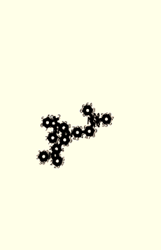 CC1(C)c2ccccc2-c2c1c1ccc3c(c4cc(-c5ccc6c(c5)c5ccccc5n6-c5ccccc5)ccc4n3-c3ccc(-c4cccc(-c5nc(-c6ccccc6)nc(-c6ccccc6)n5)c4)cc3)c1n2-c1ccccc1